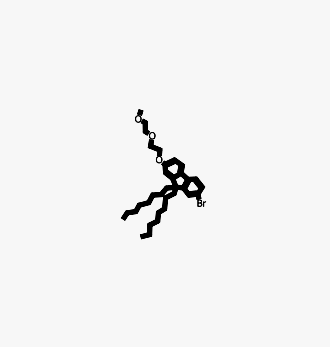 CCCCCCCCC1(CCCCCCCC)c2cc(Br)ccc2-c2ccc(OCCOCCOC)cc21